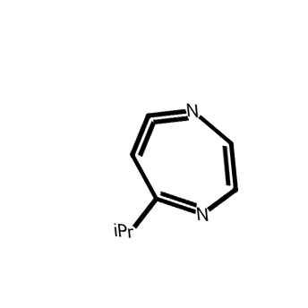 CC(C)C1=NC=CN=C=C1